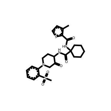 Cc1ccsc1C(=O)NC1(C(=O)NC2CCN(c3ccccc3S(C)(=O)=O)CC2=O)CCCCC1